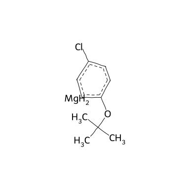 CC(C)(C)Oc1ccc(Cl)cc1.[MgH2]